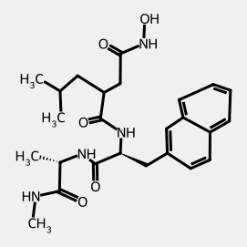 CNC(=O)[C@H](C)NC(=O)[C@H](Cc1ccc2ccccc2c1)NC(=O)C(CC(=O)NO)CC(C)C